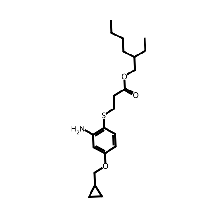 CCCCC(CC)COC(=O)CCSc1ccc(OCC2CC2)cc1N